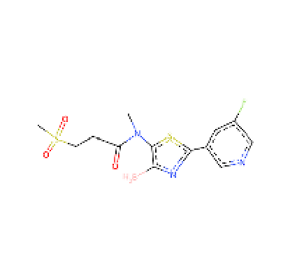 Bc1nc(-c2cncc(F)c2)sc1N(C)C(=O)CCS(C)(=O)=O